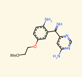 COCCOc1ccc(N)c(C(=N)c2cc(N)ncn2)c1